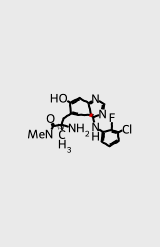 CNC(=O)[C@@](C)(N)Cc1cc2c(Nc3cccc(Cl)c3F)ncnc2cc1O